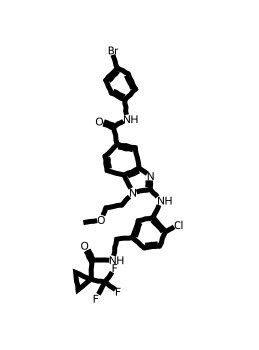 COCCn1c(Nc2cc(CNC(=O)C3(C(F)(F)F)CC3)ccc2Cl)nc2cc(C(=O)Nc3ccc(Br)cc3)ccc21